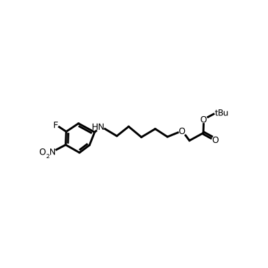 CC(C)(C)OC(=O)COCCCCCNc1ccc([N+](=O)[O-])c(F)c1